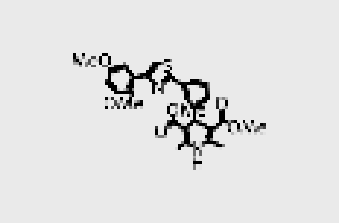 COC(=O)C1=C(C)NC(C)=C(C(=O)OC)C1c1cccc(-c2nc(-c3cc(OC)ccc3OC)cs2)c1